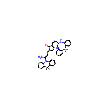 CC1(C)C2=C(CCC=C2)CC(/C=C\C2=C(N)C/C(=C\C=C(/N)N3c4ccccc4C(C)(C)c4ccccc43)C2=O)Nc2ccccc21